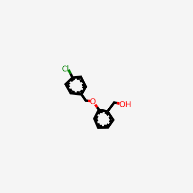 OCc1ccccc1OCc1ccc(Cl)cc1